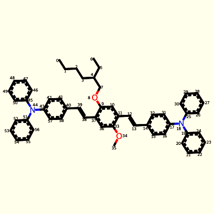 CCCCC(CC)COc1cc(C=Cc2ccc(N(c3ccccc3)c3ccccc3)cc2)c(OC)cc1C=Cc1ccc(N(c2ccccc2)c2ccccc2)cc1